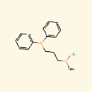 CCCCP(CCCC)CCCP(c1ccccc1)c1ccccc1